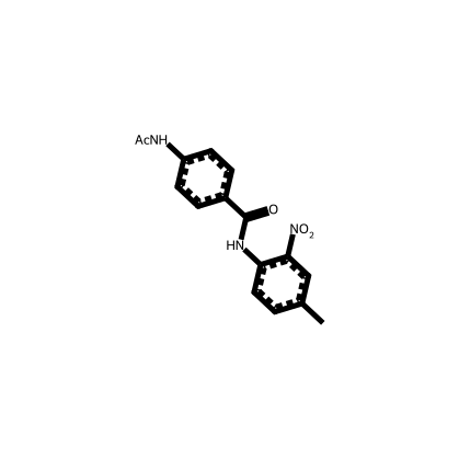 CC(=O)Nc1ccc(C(=O)Nc2ccc(C)cc2[N+](=O)[O-])cc1